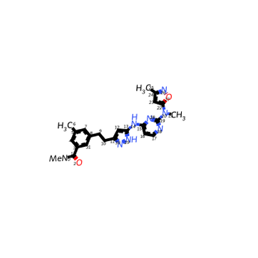 CNC(=O)c1cc(C)cc(CCc2cc(Nc3ccnc(N(C)c4cc(C)no4)n3)[nH]n2)c1